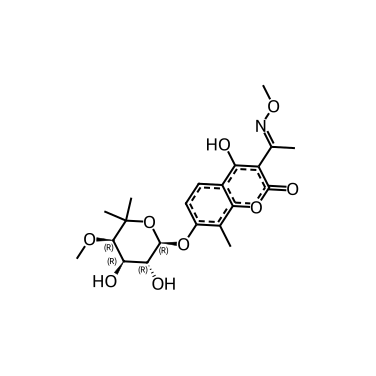 CON=C(C)c1c(O)c2ccc(O[C@@H]3OC(C)(C)[C@H](OC)[C@H](O)[C@H]3O)c(C)c2oc1=O